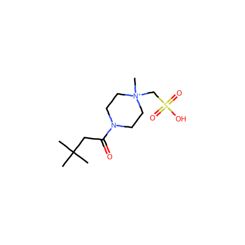 CC(C)(C)CC(=O)N1CC[N+](C)(CS(=O)(=O)O)CC1